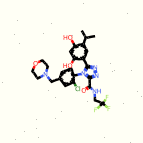 CC(C)c1cc(-c2nnc(C(=O)NCC(F)(F)F)n2-c2ccc(CN3CCOCC3)cc2Cl)c(O)cc1O